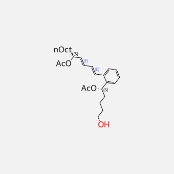 CCCCCCCC[C@@H](/C=C/C=C/c1ccccc1[C@H](CCCCO)OC(C)=O)OC(C)=O